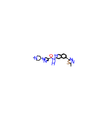 Cc1nnc(-c2ccc3cnc(NC(=O)c4cnn(C5CCN(C)CC5)c4)cc3c2)s1